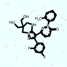 Cc1ccccc1-n1nc(-c2c(-c3ccc(F)cc3F)nn3c2NCC(CO)(CO)C3)ccc1=O